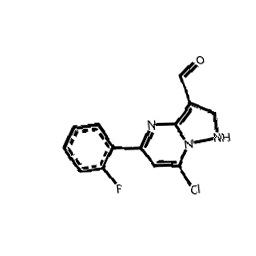 O=CC1=C2N=C(c3ccccc3F)C=C(Cl)N2NC1